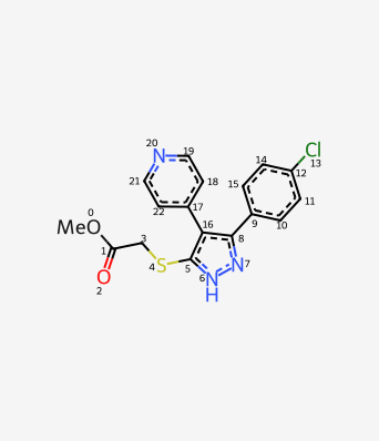 COC(=O)CSc1[nH]nc(-c2ccc(Cl)cc2)c1-c1ccncc1